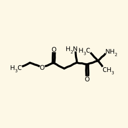 CCOC(=O)CC(N)C(=O)C(C)(C)N